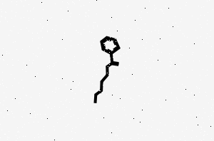 C=C(CCCCCC)c1ccccc1